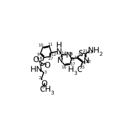 COCCNS(=O)(=O)c1cccc(Nc2nccc(-c3sc(N)nc3C)n2)c1